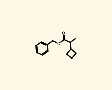 CC(C(=O)OCc1ccccc1)C1CCC1